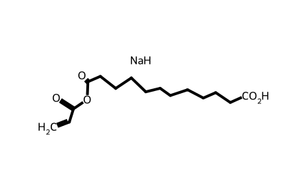 C=CC(=O)OC(=O)CCCCCCCCCCC(=O)O.[NaH]